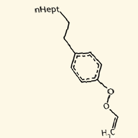 C=COOc1ccc(CCCCCCCCC)cc1